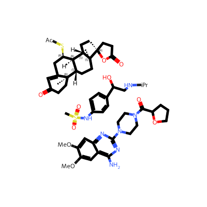 CC(=O)S[C@@H]1CC2=CC(=O)CC[C@]2(C)[C@H]2CC[C@@]3(C)[C@@H](CC[C@@]34CCC(=O)O4)[C@H]12.CC(C)NCC(O)c1ccc(NS(C)(=O)=O)cc1.COc1cc2nc(N3CCN(C(=O)C4CCCO4)CC3)nc(N)c2cc1OC